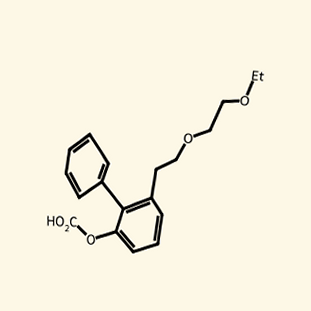 CCOCCOCCc1cccc(OC(=O)O)c1-c1ccccc1